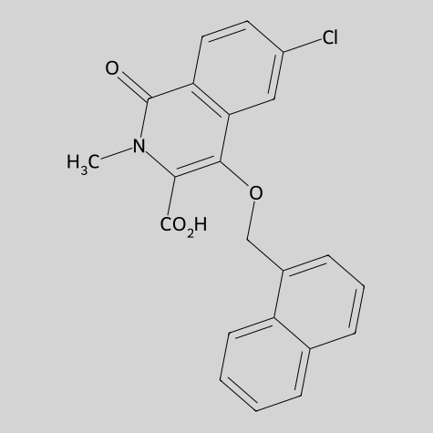 Cn1c(C(=O)O)c(OCc2cccc3ccccc23)c2cc(Cl)ccc2c1=O